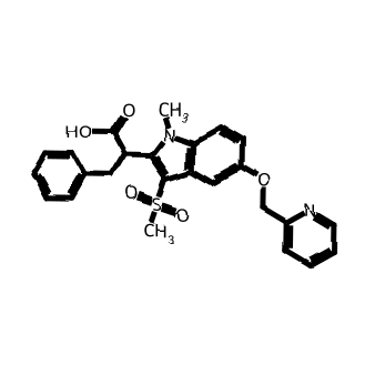 Cn1c(C(Cc2ccccc2)C(=O)O)c(S(C)(=O)=O)c2cc(OCc3ccccn3)ccc21